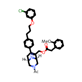 COc1ccccc1CC(=O)OCC1=C(c2ccc(CCCOc3cccc(Cl)c3)cc2)C[C@@H]2CN(C(C)=O)C[C@H]1N2